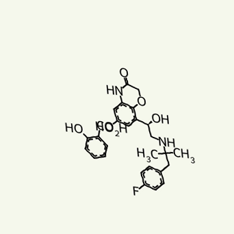 CC(C)(Cc1ccc(F)cc1)NC[C@H](O)c1cc(O)cc2c1OCC(=O)N2.O=C(O)c1ccccc1O